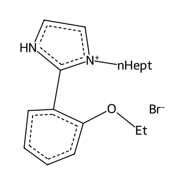 CCCCCCC[n+]1cc[nH]c1-c1ccccc1OCC.[Br-]